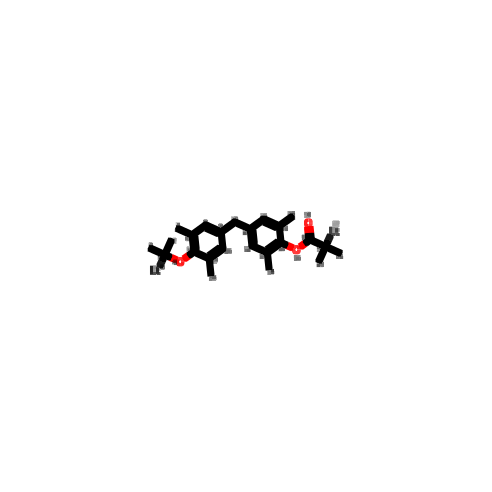 CCC(C)(C)Oc1c(C)cc(Cc2cc(C)c(OC(=O)C(C)(C)CC)c(C)c2)cc1C